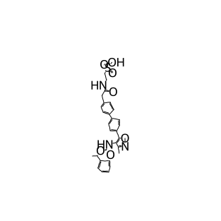 Cc1noc(-c2ccc(-c3ccc(CC(=O)NCCS(=O)(=O)O)cc3)cc2)c1NC(=O)OC(C)c1ccccc1